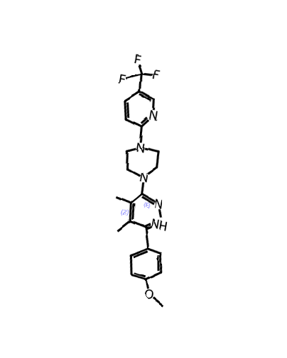 C/N=C(\C(C)=C(\C)C(=N)c1ccc(OC)cc1)N1CCN(c2ccc(C(F)(F)F)cn2)CC1